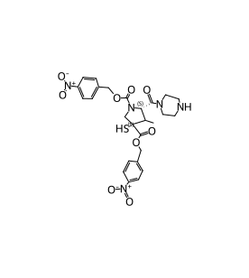 CC1[C@@H](C(=O)N2CCNCC2)N(C(=O)OCc2ccc([N+](=O)[O-])cc2)C[C@]1(S)C(=O)OCc1ccc([N+](=O)[O-])cc1